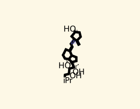 C=C1CC[C@H](O)C/C1=C/C=C1CCC[C@@]2(C)C1CC[C@]2(O)[C@@](C)(O)CC(O)CC(C)C